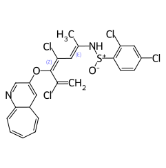 C=C(Cl)/C(OC1=CC2C=CC=CC=C2N=C1)=C(Cl)\C=C(/C)N[S+]([O-])c1ccc(Cl)cc1Cl